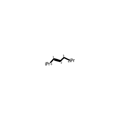 [CH2]C(C)C=CCC(C)C